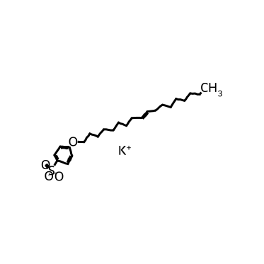 CCCCCCCCC=CCCCCCCCCOc1ccc(S(=O)(=O)[O-])cc1.[K+]